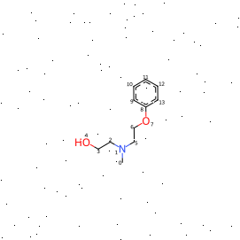 CN(CCO)CCOc1ccccc1